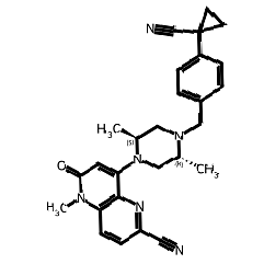 C[C@@H]1CN(c2cc(=O)n(C)c3ccc(C#N)nc23)[C@@H](C)CN1Cc1ccc(C2(C#N)CC2)cc1